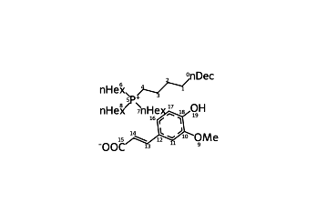 CCCCCCCCCCCCCC[P+](CCCCCC)(CCCCCC)CCCCCC.COc1cc(C=CC(=O)[O-])ccc1O